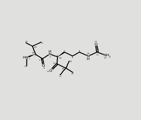 CN[C@H](C(=O)N[C@@H](CCCNC(N)=O)C(=O)C(C)(C)C)C(C)C